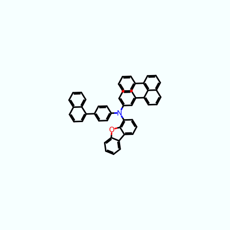 c1ccc(-c2cccc3cccc(-c4cccc(N(c5ccc(-c6cccc7ccccc67)cc5)c5cccc6c5oc5ccccc56)c4)c23)cc1